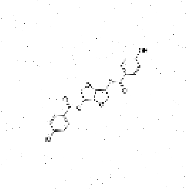 O=C(OC1COC2C(OC(=O)c3ccc(O)cc3)COC12)c1ccc(O)cc1